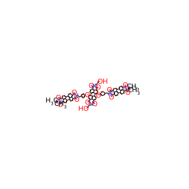 CC(C)N1C(=O)c2ccc3c4ccc5c6c(ccc(c7ccc(c2c37)C1=O)c64)C(=O)N(CCc1ccc(Oc2cc3c4c(ccc6c7c(Oc8ccc(CCN9C(=O)c%10ccc%11c%12ccc%13c%14c(ccc(c%15ccc(c%10c%11%15)C9=O)c%14%12)C(=O)N(C(C)C)C%13=O)cc8)cc8c9c(ccc(c2c46)c97)C(=O)N(CCCO)C8=O)C(=O)N(CCCO)C3=O)cc1)C5=O